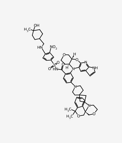 CC1(O)CCC(CNc2ccc(S(=O)(=O)NC(=O)c3ccc(N4CCC5(CC4)CC(N4CCOC[C@]46COC(C)(C)c4ccccc46)C5)cc3N3c4cc5cc[nH]c5nc4O[C@H]4COCC[C@@H]43)cc2[N+](=O)[O-])CC1